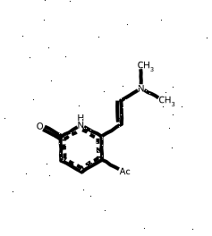 CC(=O)c1ccc(=O)[nH]c1/C=C/N(C)C